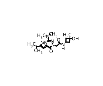 CC(C)c1cc2c(=O)n(CC(=O)N[C@H]3C[C@@](C)(O)C3)nc(N(C)C)n2n1